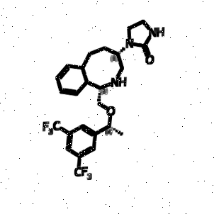 C[C@@H](OC[C@H]1NC[C@@H](N2CCNC2=O)CCC2C=CC=CC21)c1cc(C(F)(F)F)cc(C(F)(F)F)c1